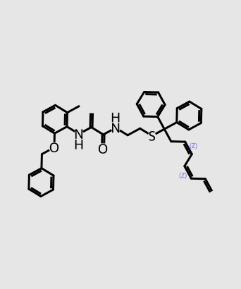 C=C/C=C\C=C/CC(SCCNC(=O)C(=C)Nc1c(C)cccc1OCc1ccccc1)(c1ccccc1)c1ccccc1